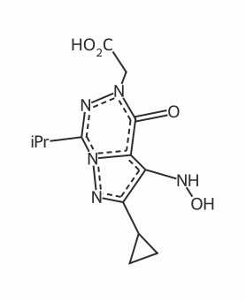 CC(C)c1nn(CC(=O)O)c(=O)c2c(NO)c(C3CC3)nn12